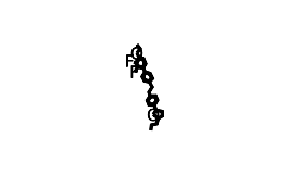 CCCC1CCC(c2ccc(CCc3ccc(-c4ccc(OCC)c(F)c4F)cc3)cc2)O1